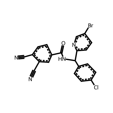 N#Cc1ccc(C(=O)NC(c2ccc(Cl)cc2)c2ccc(Br)cn2)cc1C#N